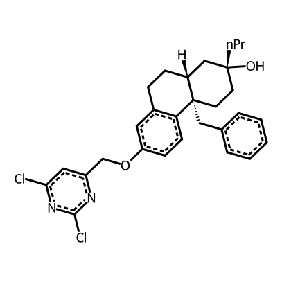 CCC[C@@]1(O)CC[C@@]2(Cc3ccccc3)c3ccc(OCc4cc(Cl)nc(Cl)n4)cc3CC[C@@H]2C1